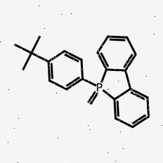 C=P1(c2ccc(C(C)(C)C)cc2)c2ccccc2-c2ccccc21